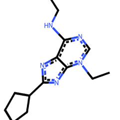 CCNc1ncn(CC)c2nc(C3CCCC3)nc1-2